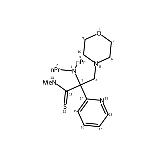 CCCN(CCC)C(CN1CCOCC1)(C(=S)NC)c1ccccn1